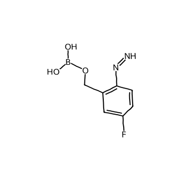 N=Nc1ccc(F)cc1COB(O)O